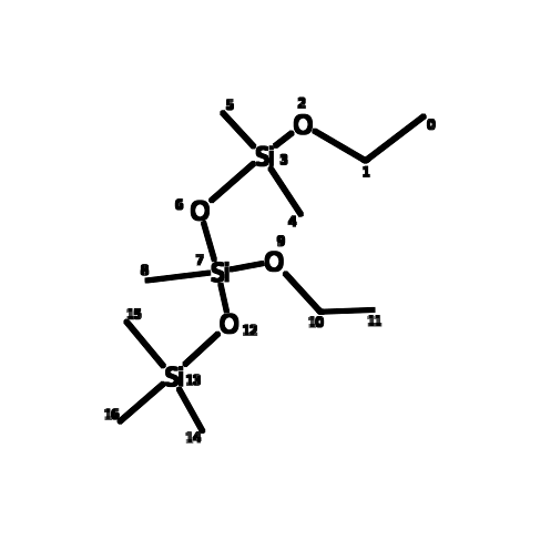 CCO[Si](C)(C)O[Si](C)(OCC)O[Si](C)(C)C